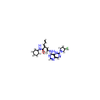 C=C/C=C(\C=C(/CC)Nc1ncnc2cnc(N3CC[C@@H](F)C3)nc12)C(=O)NC1CCCCC1